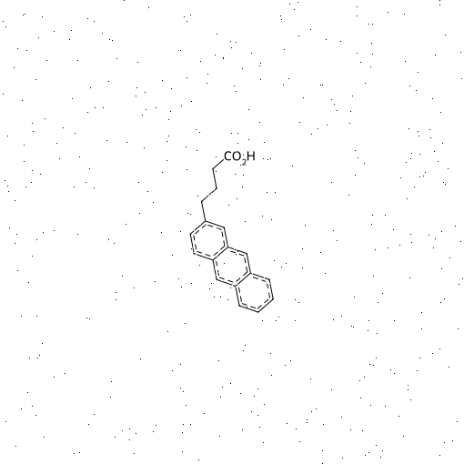 O=C(O)CCCc1ccc2cc3ccccc3cc2c1